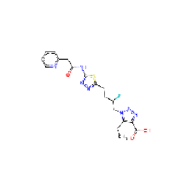 CCc1c(C(=O)O)nnn1C[C@H](F)CCc1nnc(NC(=O)Cc2ccccn2)s1